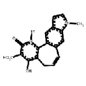 CCn1c2c(c(O)c(C(=O)O)c1=O)CC=Cc1cc3c(ccn3C)cc1-2